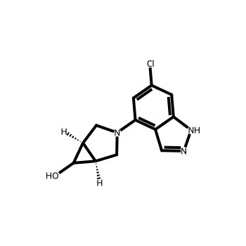 OC1[C@H]2CN(c3cc(Cl)cc4[nH]ncc34)C[C@@H]12